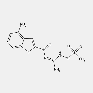 CS(=O)(=O)ONC(N)=NC(=O)c1cc2c([N+](=O)[O-])cccc2s1